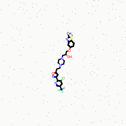 Cc1nc2cc(OC[C@H](O)CN3CCN(CCc4cc(-c5ncc(C(F)(F)F)cc5Cl)no4)CC3)ccc2s1